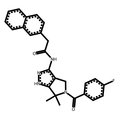 CC1(C)c2[nH]nc(NC(=O)Cc3ccc4ccccc4c3)c2CN1C(=O)c1ccc(F)cc1